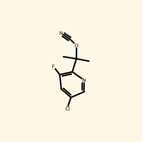 CC(C)(OC#N)c1ncc(Cl)cc1F